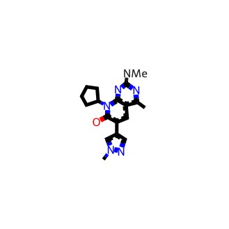 CNc1nc(C)c2cc(-c3cnn(C)c3)c(=O)n(C3CCCC3)c2n1